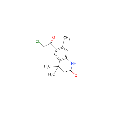 Cc1cc2c(cc1C(=O)CCl)C(C)(C)CC(=O)N2